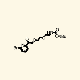 CC(C)(C)OC(=O)NCCOCCOCC(=O)c1cccc(Br)n1